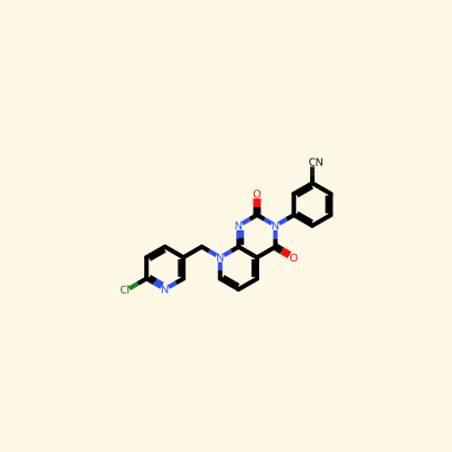 N#Cc1cccc(-n2c(=O)nc3n(Cc4ccc(Cl)nc4)cccc-3c2=O)c1